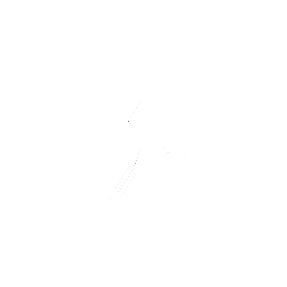 C#COCC.[SiH4]